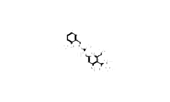 COC(=N)c1c(N)cc(NC(=O)NCc2ccccc2OC)nc1CO